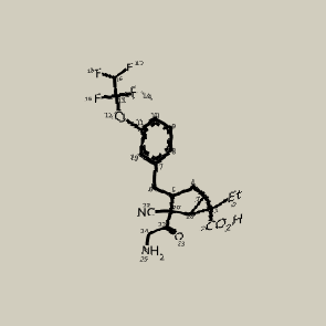 CCC1(C(=O)O)C2CC(Cc3cccc(OC(F)(F)C(F)F)c3)C(C#N)(C(=O)CN)C21